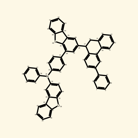 c1ccc(-c2ccc3c(c2)-c2ccccc2CC3c2cc(-c3ccc(N(c4ccccc4)c4ccc5oc6ccccc6c5c4)cc3)c3sc4ccccc4c3c2)cc1